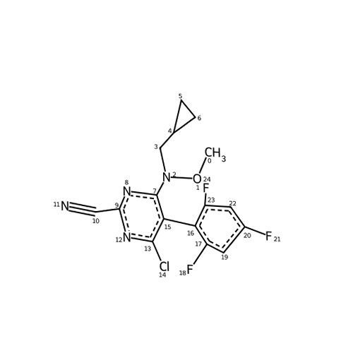 CON(CC1CC1)c1nc(C#N)nc(Cl)c1-c1c(F)cc(F)cc1F